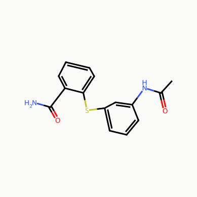 CC(=O)Nc1cccc(Sc2ccccc2C(N)=O)c1